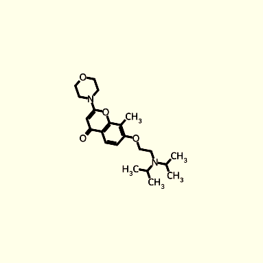 Cc1c(OCCN(C(C)C)C(C)C)ccc2c(=O)cc(N3CCOCC3)oc12